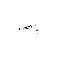 [F].[Li].[O]=[Co]